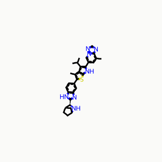 Cc1c(-c2ccc3[nH]c([C@H]4NC5CCC4C5)nc3c2)sc2[nH]c(-c3cc(C)c4ncnn4c3)c(C(C)C)c12